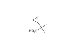 CC(C)(C(=O)O)C1CC1